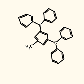 Cc1cc(B(c2ccccc2)c2ccccc2)cc(B(c2ccccc2)c2ccccc2)c1